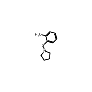 Cc1ccccc1SN1CCCC1